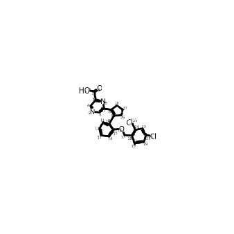 O=C(O)c1cncc(C2=C(c3ccccc3OCc3ccc(Cl)cc3Cl)CCC2)n1